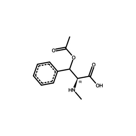 CN[C@H](C(=O)O)C(OC(C)=O)c1ccccc1